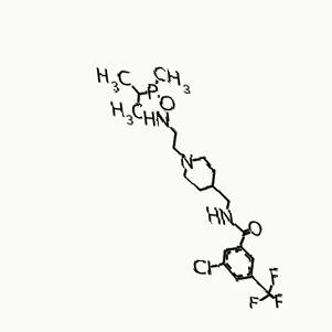 CC(C)P(C)ONCCN1CCC(CNC(=O)c2cc(Cl)cc(C(F)(F)F)c2)CC1